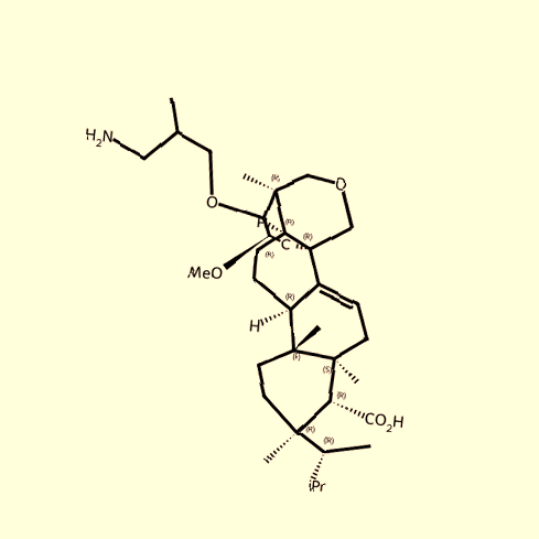 CO[C@@H]1C[C@@]23COC[C@](C)(C1OCC(C)CN)[C@@H]2CC[C@H]1C3=CC[C@@]2(C)[C@H](C(=O)O)[C@@](C)([C@H](C)C(C)C)CC[C@]12C